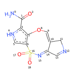 NC(=O)c1[nH]cc2c1O/C=C1/CN=C/C1=N/S2(=O)=O